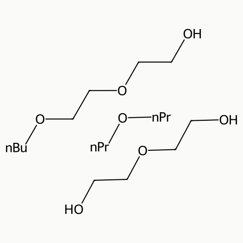 CCCCOCCOCCO.CCCOCCC.OCCOCCO